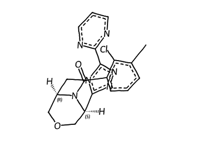 Cc1cccc(C(=O)N2[C@H]3COC[C@@H]2c2nnc(-c4ncccn4)n2C3)c1Cl